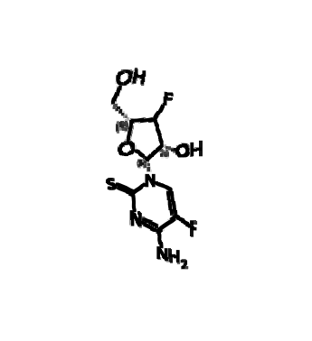 Nc1nc(=S)n([C@@H]2O[C@H](CO)C(F)[C@@H]2O)cc1F